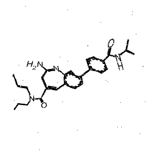 CCCN(CCC)C(=O)C1=Cc2ccc(-c3ccc(C(=O)NC(C)C)cc3)cc2N=C(N)C1